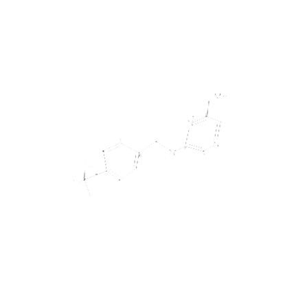 COc1cncc(NCc2ccc(C(C)(C)O)cc2)n1